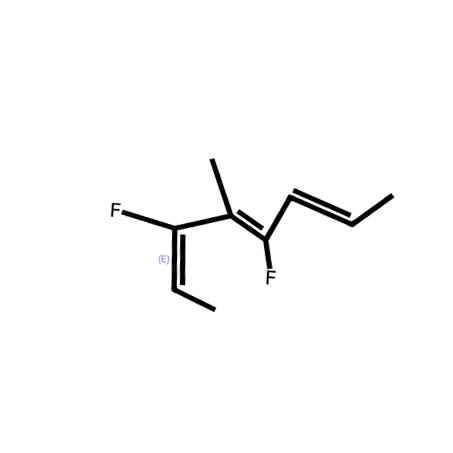 CC=CC(F)=C(C)/C(F)=C\C